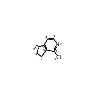 Clc1nccc2c1CCO2